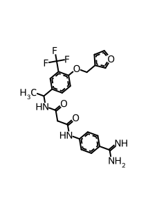 CC(NC(=O)CC(=O)Nc1ccc(C(=N)N)cc1)c1ccc(OCc2ccoc2)c(C(F)(F)F)c1